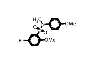 COc1ccc(N(C)S(=O)(=O)c2cc(Br)ccc2OC)cc1